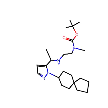 CC(NCCN(C)C(=O)OC(C)(C)C)c1ccnn1C1CCC2(CCCC2)CC1